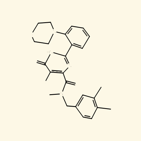 Cc1ccc(CN(C)C(=O)c2nc(-c3ccccc3N3CCOCC3)[nH]c(=O)c2O)cc1C